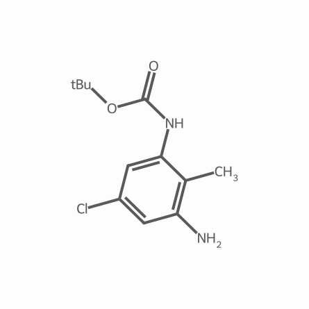 Cc1c(N)cc(Cl)cc1NC(=O)OC(C)(C)C